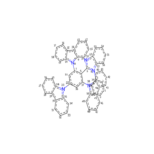 c1ccc(-n2c(-c3c(-n4c5ccccc5c5ccccc54)cc(-n4c5ccccc5c5ccccc54)cc3-n3c4ccccc4c4ccccc43)nc3ccccc32)cc1